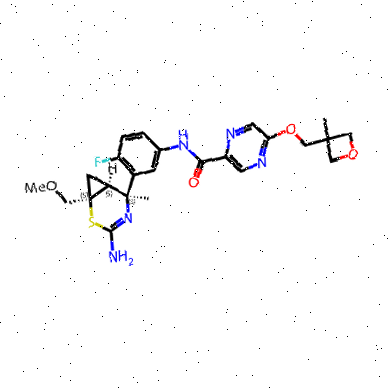 COC[C@]12C[C@H]1[C@@](C)(c1cc(NC(=O)c3cnc(OCC4(C)COC4)cn3)ccc1F)N=C(N)S2